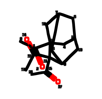 CC(=O)C12CC3CC(CC(C3)C1(C(C)=O)C(C)=O)C2